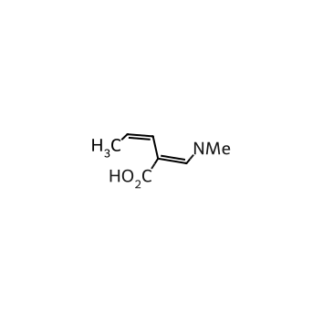 C/C=C\C(=C/NC)C(=O)O